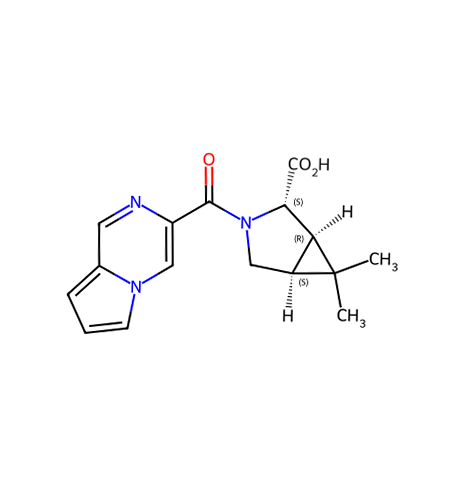 CC1(C)[C@@H]2[C@@H](C(=O)O)N(C(=O)c3cn4cccc4cn3)C[C@@H]21